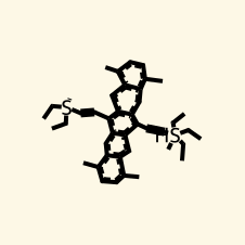 CCS(C)(C#Cc1c2cc3c(C)ccc(C)c3cc2c(C#C[SH](C)(CC)(CC)CC)c2cc3c(C)ccc(C)c3cc12)CC